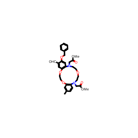 COC(=O)CN1CCOCCN(CC(=O)OC)c2cc(OCc3ccccc3)c(C=O)cc2OCCOc2cc(C)ccc21